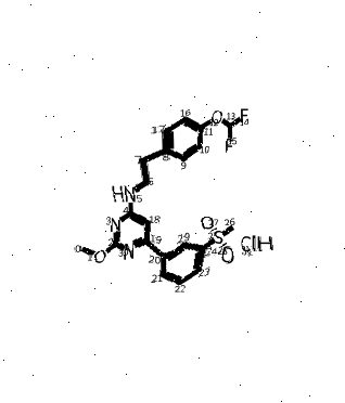 COc1nc(NCCc2ccc(OC(F)F)cc2)cc(-c2cccc(S(C)(=O)=O)c2)n1.Cl